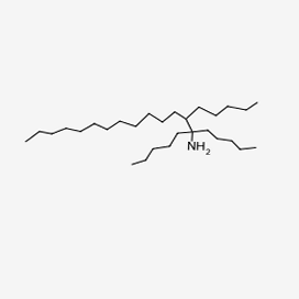 CCCCCCCCCCCCC(CCCCC)C(N)(CCCCC)CCCCC